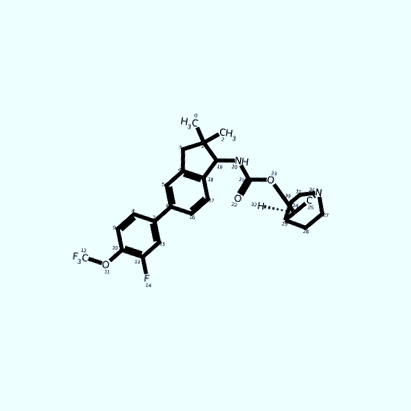 CC1(C)Cc2cc(-c3ccc(OC(F)(F)F)c(F)c3)ccc2C1NC(=O)O[C@H]1CN2CCC1CC2